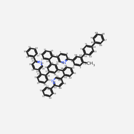 Cc1ccc(-c2ccc(-c3ccccc3-c3cc(-c4ccccc4-c4ccc(-c5ccccc5)nc4)cc(-c4ccccc4-c4ccc(-c5ccccc5)nc4)c3)cn2)cc1-c1ccc(-c2ccccc2)cc1